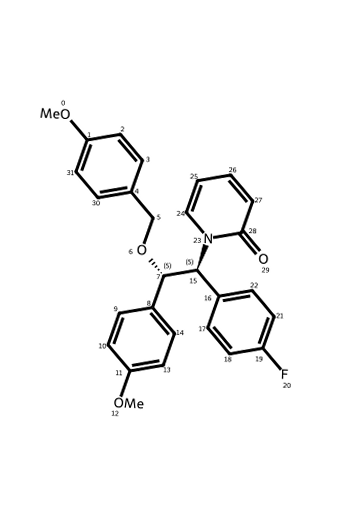 COc1ccc(CO[C@@H](c2ccc(OC)cc2)[C@H](c2ccc(F)cc2)n2ccccc2=O)cc1